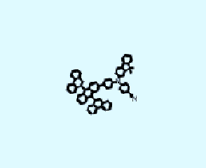 CC1(C)c2ccccc2-c2ccc(N(c3ccc(C#N)cc3)c3ccc(-c4ccc5c(-c6cc7ccccc7c7ccccc67)c6ccccc6c(-c6cc7ccccc7c7ccccc67)c5c4)cc3)cc21